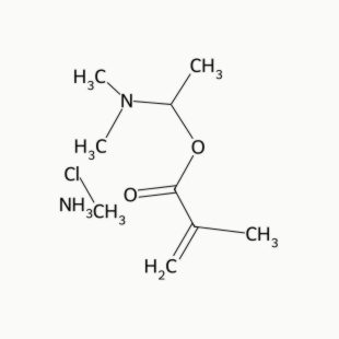 C=C(C)C(=O)OC(C)N(C)C.CCl.N